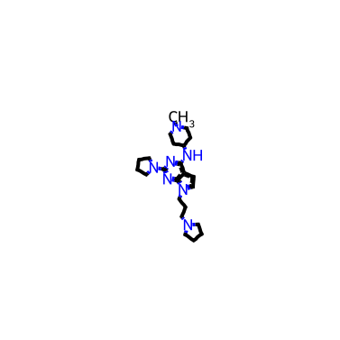 CN1CCC(Nc2nc(N3CCCC3)nc3c2ccn3CCCN2CCCC2)CC1